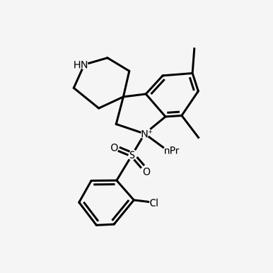 CCC[N+]1(S(=O)(=O)c2ccccc2Cl)CC2(CCNCC2)c2cc(C)cc(C)c21